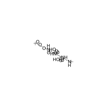 CC(C)(C)NCCCC(=O)N[C@@H](CCC(=O)N[C@@H](CCC(=O)NCCOCCOCC(=O)C(C)(C)C)C(=O)O)C(=O)O